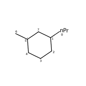 CCCC1CCC[C](C)C1